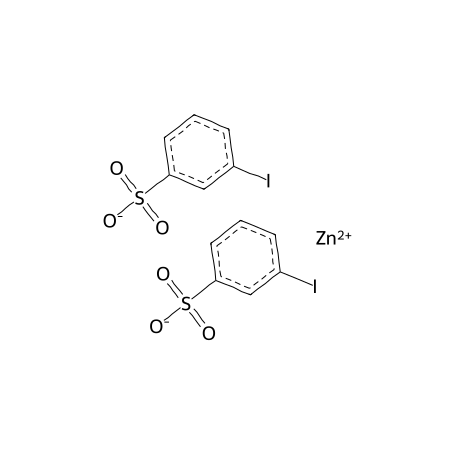 O=S(=O)([O-])c1cccc(I)c1.O=S(=O)([O-])c1cccc(I)c1.[Zn+2]